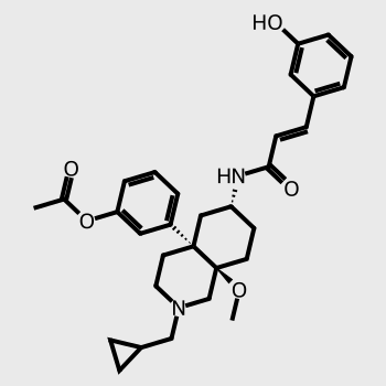 CO[C@]12CC[C@@H](NC(=O)C=Cc3cccc(O)c3)C[C@]1(c1cccc(OC(C)=O)c1)CCN(CC1CC1)C2